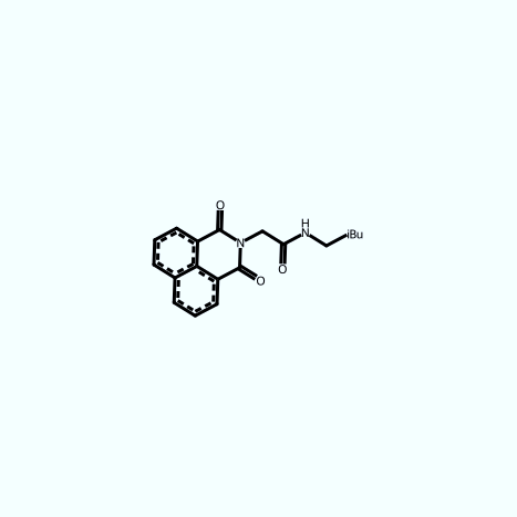 CCC(C)CNC(=O)CN1C(=O)c2cccc3cccc(c23)C1=O